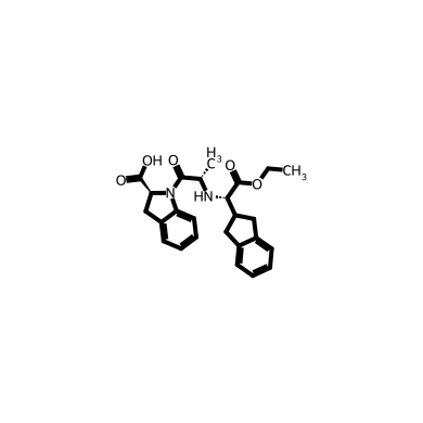 CCOC(=O)[C@@H](N[C@@H](C)C(=O)N1c2ccccc2C[C@H]1C(=O)O)C1Cc2ccccc2C1